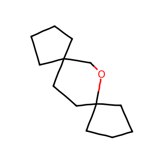 C1CCC2(C1)CCC1(CCCC1)OC2